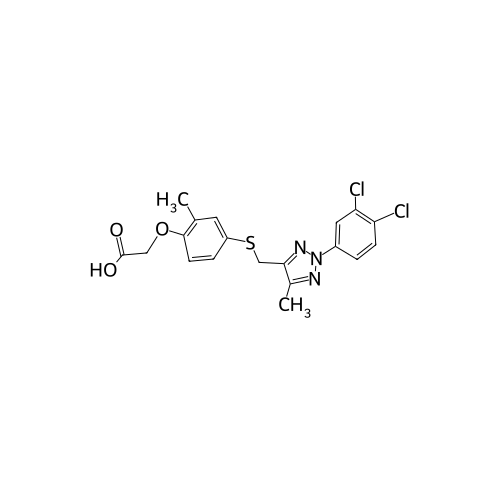 Cc1cc(SCc2nn(-c3ccc(Cl)c(Cl)c3)nc2C)ccc1OCC(=O)O